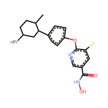 CCCC1CCC(C)C(c2ccc(Oc3ncc(C(=O)NO)cc3F)cc2)C1